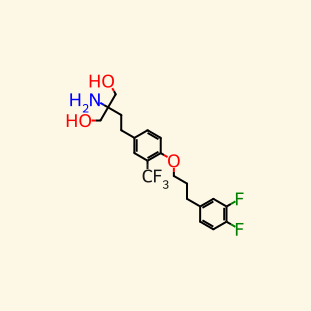 NC(CO)(CO)CCc1ccc(OCCCc2ccc(F)c(F)c2)c(C(F)(F)F)c1